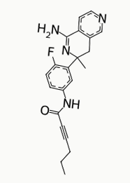 CCCC#CC(=O)Nc1ccc(F)c(C2(C)Cc3cnccc3C(N)=N2)c1